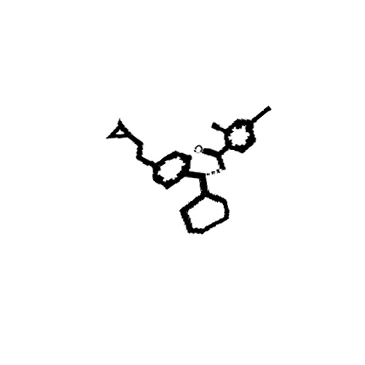 Cc1ccc(C(=O)C[C@@H](c2ccc(CCC3CC3)cc2)C2CCCCC2)c(C)c1